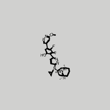 COc1cc(-c2cc(O)c(-c3ccc(N(C4CC4)[C@@H]4C[C@]5(C)CCC[C@](C)(C4)N5)nn3)c(F)c2F)cnn1